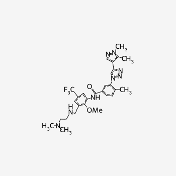 COc1c(CNCCN(C)C)cc(C(F)(F)F)cc1NC(=O)c1ccc(C)c(-n2cc(-c3cnn(C)c3C)nn2)c1